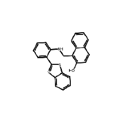 Oc1ccc2ccccc2c1CNc1ccccc1-c1nc2ccccc2s1